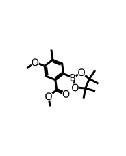 COC(=O)c1cc(OC)c(C)cc1B1OC(C)(C)C(C)(C)O1